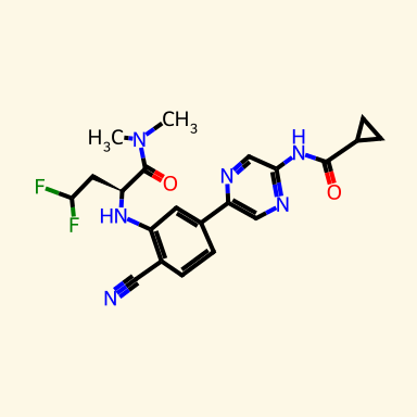 CN(C)C(=O)[C@H](CC(F)F)Nc1cc(-c2cnc(NC(=O)C3CC3)cn2)ccc1C#N